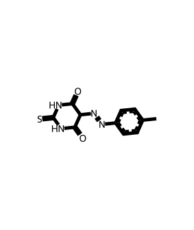 Cc1ccc(/N=N/C2C(=O)NC(=S)NC2=O)cc1